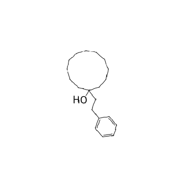 OC1(CCc2ccccc2)CCCCCCCCCCC1